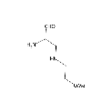 COCCNCC(N)C=O